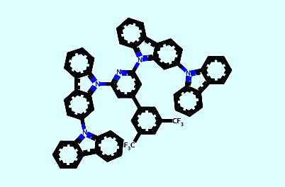 FC(F)(F)c1cc(-c2cc(-n3c4ccccc4c4ccc(-n5c6ccccc6c6ccccc65)cc43)nc(-n3c4ccccc4c4ccc(-n5c6ccccc6c6ccccc65)cc43)c2)cc(C(F)(F)F)c1